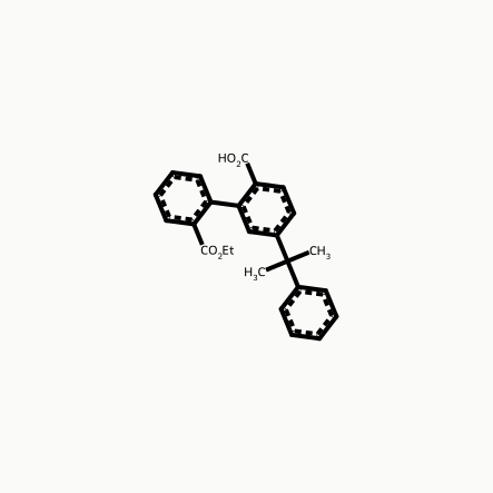 CCOC(=O)c1ccccc1-c1cc(C(C)(C)c2ccccc2)ccc1C(=O)O